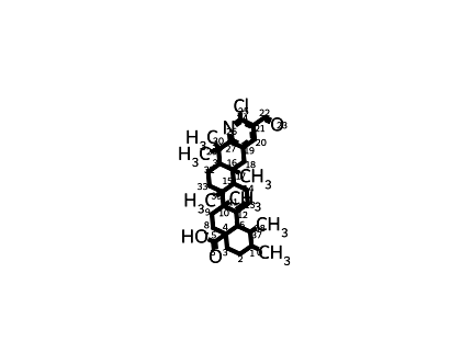 CC1CCC2(C(=O)O)CCC3(C)C(=CCC4C5(C)Cc6cc(C=O)c(Cl)nc6C(C)(C)C5CCC43C)C2C1C